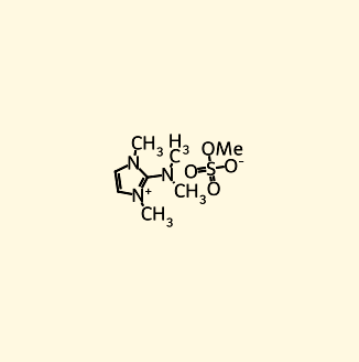 CN(C)c1n(C)cc[n+]1C.COS(=O)(=O)[O-]